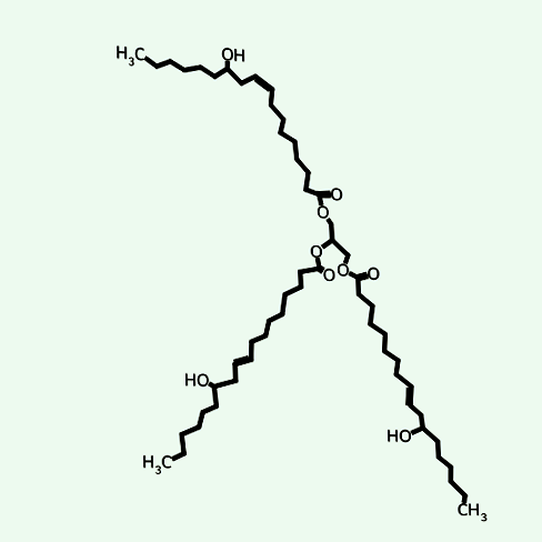 CCCCCCC(O)C/C=C\CCCCCCCC(=O)OCC(COC(=O)CCCCCCC/C=C/CC(O)CCCCCC)OC(=O)CCCCCCC/C=C/CC(O)CCCCCC